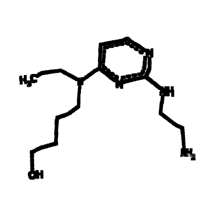 CCN(CCCCO)c1ccnc(NCCN)n1